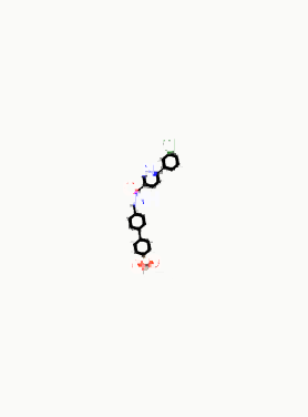 CS(=O)(=O)c1ccc(-c2ccc(CNC(=O)c3ccc(-c4cccc(Cl)c4)nc3)cc2)cc1